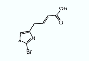 O=C(O)C=CCc1csc(Br)n1